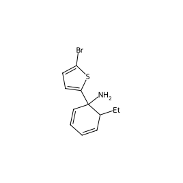 CCC1C=CC=CC1(N)c1ccc(Br)s1